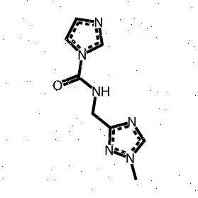 Cn1cnc(CNC(=O)n2ccnc2)n1